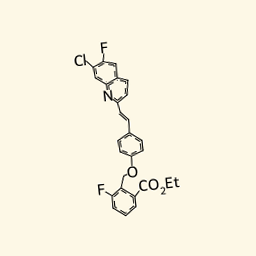 CCOC(=O)c1cccc(F)c1COc1ccc(/C=C/c2ccc3cc(F)c(Cl)cc3n2)cc1